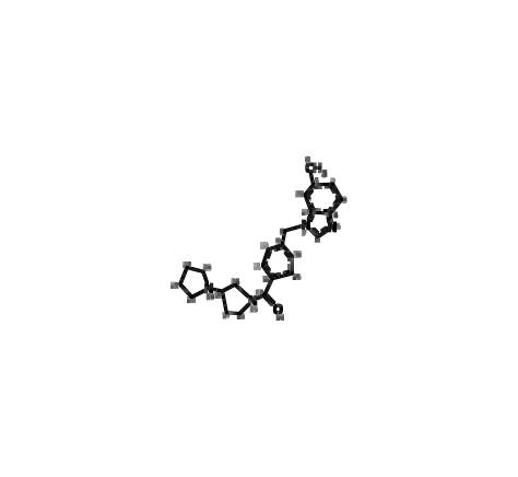 Cc1ccc2ncn(Cc3ccc(C(=O)N4CCC(N5CCCC5)C4)cc3)c2c1